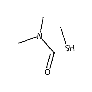 CN(C)C=O.CS